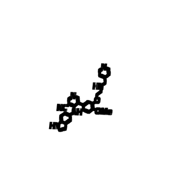 COc1ccc(-c2cncc(C#N)c2Nc2ccc3[nH]ccc3c2)cc1OCCNCc1ccncc1